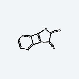 O=c1[se]c2c3ccccc3c=2c1=O